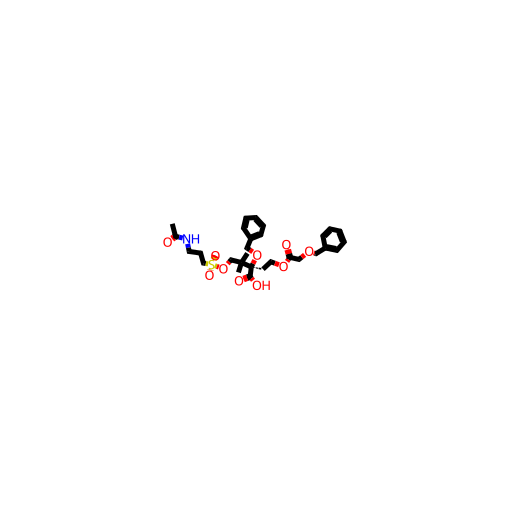 CC(=O)NCCCS(=O)(=O)OCC(C)(C)[C@@](CCOC(=O)COCc1ccccc1)(OCc1ccccc1)C(=O)O